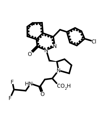 O=C(CC(C(=O)O)N1CCC[C@@H]1Cn1nc(Cc2ccc(Cl)cc2)c2ccccc2c1=O)NCC(F)F